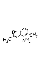 C/C(Br)=C/c1cccc(C)c1N